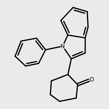 O=C1CCCCC1c1cc2ccccc2n1-c1ccccc1